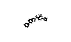 O=C(NCc1ccc(-c2ccccc2)cc1)c1cnc(-n2cccn2)nc1O